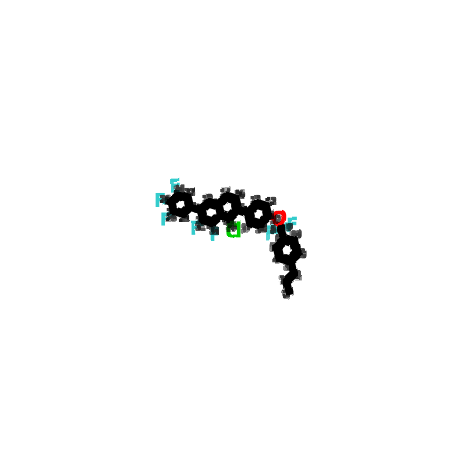 CCCc1ccc(C(F)(F)Oc2ccc(-c3ccc4cc(-c5cc(F)c(F)c(F)c5)c(F)c(F)c4c3Cl)cc2)cc1